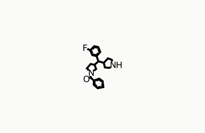 O=C(c1ccccc1)N1CCC(C(c2cccc(F)c2)C2CCNCC2)C1